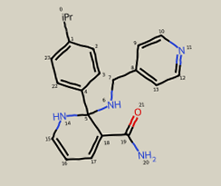 CC(C)c1ccc(C2(NCc3ccncc3)NC=CC=C2C(N)=O)cc1